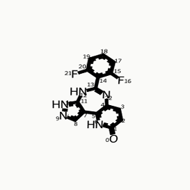 O=c1ccc2c([nH]1)-c1cn[nH]c1NC(c1c(F)cccc1F)=N2